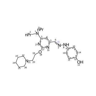 CCCN(CCC)c1cc(/C=N/Nc2ccc(O)cc2)nc(OCCN2CCCCC2)n1